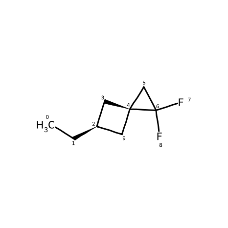 CC[C@H]1C[C@]2(CC2(F)F)C1